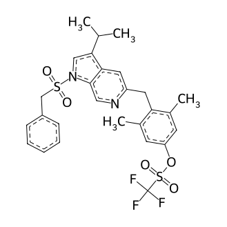 Cc1cc(OS(=O)(=O)C(F)(F)F)cc(C)c1Cc1cc2c(C(C)C)cn(S(=O)(=O)Cc3ccccc3)c2cn1